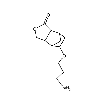 O=C1OCC2C3CC(CC3OCCC[SiH3])C12